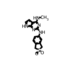 CNc1nc(Nc2ccc3c(c2)CS(=O)(=O)C3)nc2[nH]ccc12